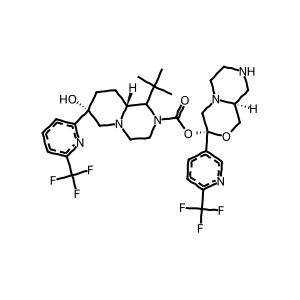 CC(C)(C)C1[C@H]2CC[C@](O)(c3cccc(C(F)(F)F)n3)CN2CCN1C(=O)O[C@]1(c2ccc(C(F)(F)F)nc2)CN2CCNC[C@H]2CO1